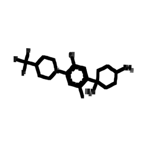 Cc1cc(N2CCC(C(F)(F)F)CC2)c(Cl)cc1C1(N)CCC(N)CC1